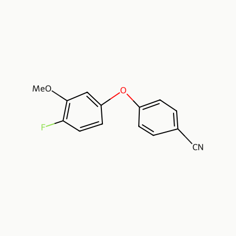 COc1cc(Oc2ccc(C#N)cc2)ccc1F